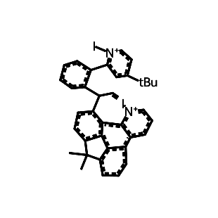 C=CC(c1ccccc1-c1cc(C(C)(C)C)cc[n+]1I)c1ccc2c3c4c(cccc4c4ccc[n+](I)c4c13)C2(C)C